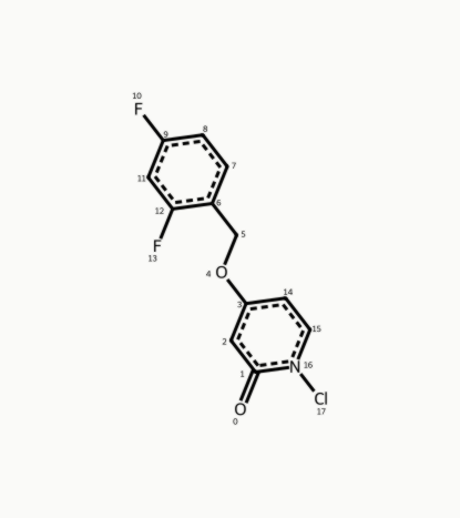 O=c1cc(OCc2ccc(F)cc2F)ccn1Cl